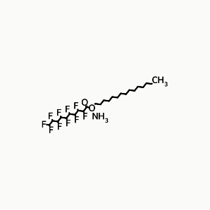 CCCCCCCCCCCCCCCOC(=O)C(F)C(F)C(F)C(F)C(F)C(F)C(F)C(F)C(F)F.N